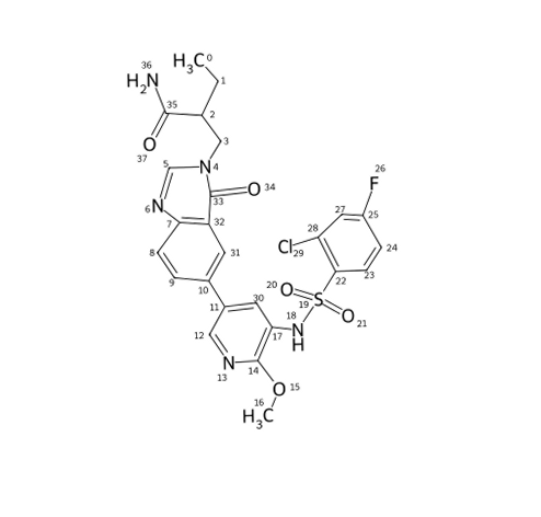 CCC(Cn1cnc2ccc(-c3cnc(OC)c(NS(=O)(=O)c4ccc(F)cc4Cl)c3)cc2c1=O)C(N)=O